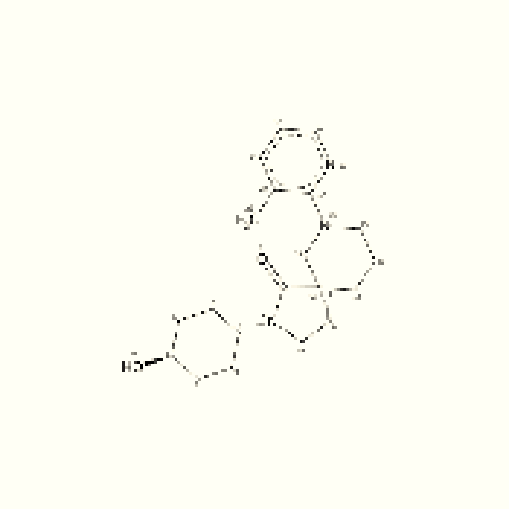 O=C1N([C@H]2CC[C@H](O)CC2)CC[C@]12CCCN(c1ncccc1C(F)(F)F)C2